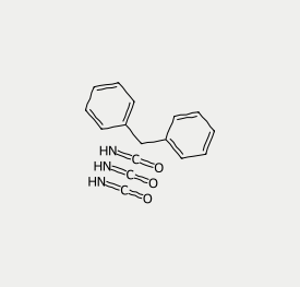 N=C=O.N=C=O.N=C=O.c1ccc(Cc2ccccc2)cc1